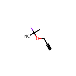 C#CCOC(C)(I)C#N